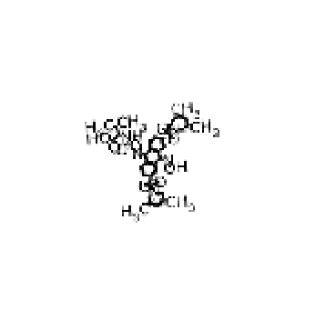 CC(C)C(NC(=O)ON=C1c2ccc(S(=O)(=O)N3C[C@H](C)C[C@H](C)C3)cc2C(=NO)c2cc(S(=O)(=O)N3C[C@H](C)C[C@H](C)C3)ccc21)C(=O)O